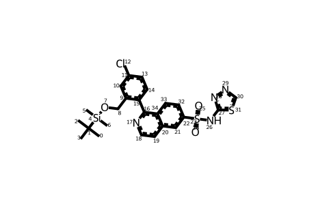 CC(C)(C)[Si](C)(C)OCc1cc(Cl)ccc1-c1nccc2cc(S(=O)(=O)Nc3nncs3)ccc12